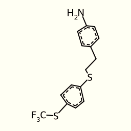 Nc1ccc(CCSc2ccc(SC(F)(F)F)cc2)cc1